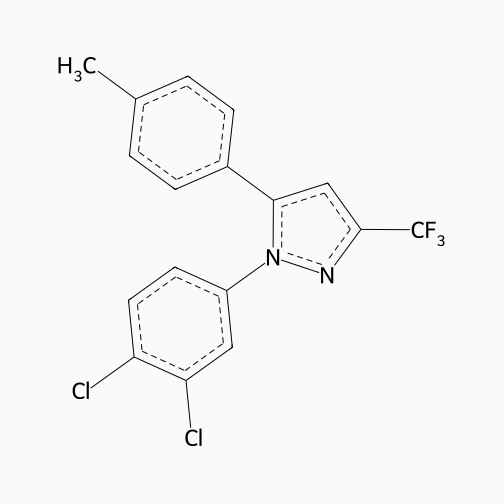 Cc1ccc(-c2cc(C(F)(F)F)nn2-c2ccc(Cl)c(Cl)c2)cc1